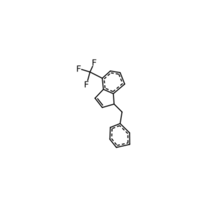 FC(F)(F)c1cccc2c1C=CC2Cc1ccccc1